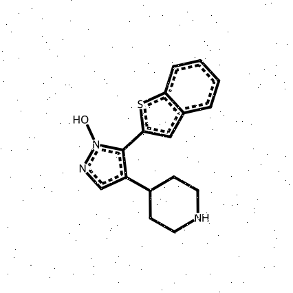 On1ncc(C2CCNCC2)c1-c1cc2ccccc2s1